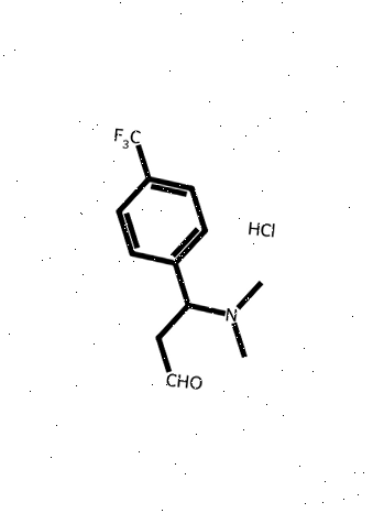 CN(C)C(CC=O)c1ccc(C(F)(F)F)cc1.Cl